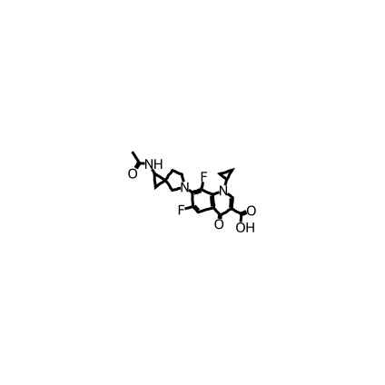 CC(=O)NC1CC12CCN(c1c(F)cc3c(=O)c(C(=O)O)cn(C4CC4)c3c1F)C2